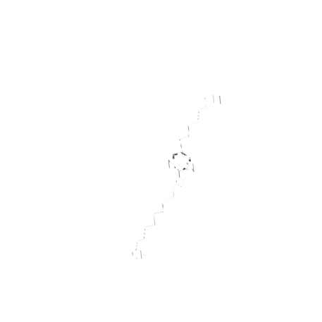 CCCCCCCCCCOc1ncc(CCCCCCC)cn1